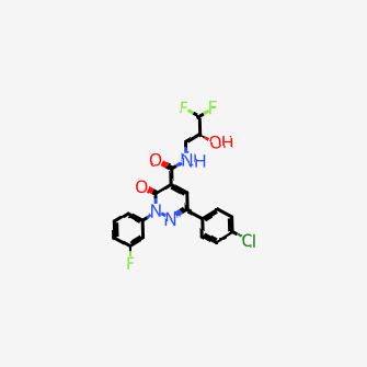 O=C(NC[C@H](O)C(F)F)c1cc(-c2ccc(Cl)cc2)nn(-c2cccc(F)c2)c1=O